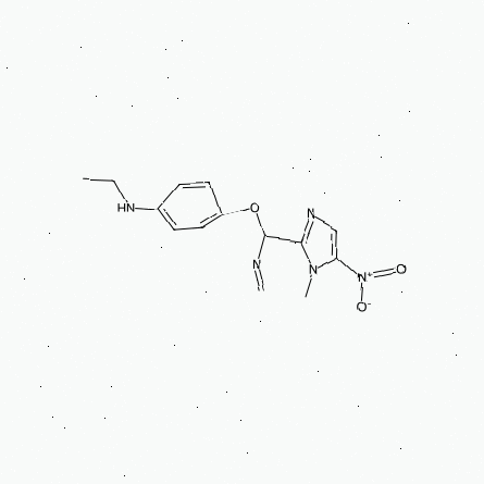 C=NC(Oc1ccc(NCC)cc1)c1ncc([N+](=O)[O-])n1C